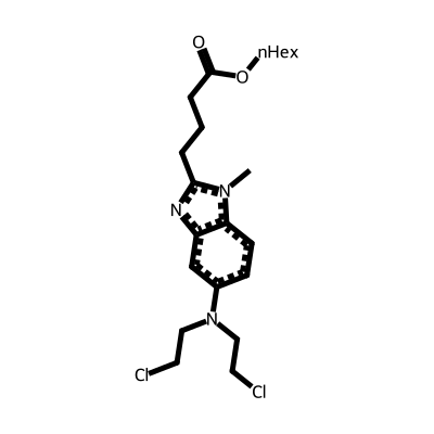 CCCCCCOC(=O)CCCc1nc2cc(N(CCCl)CCCl)ccc2n1C